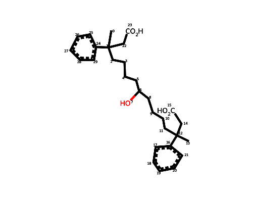 CC(CCCCC(O)CCCCC(C)(CC(=O)O)c1ccccc1)(CC(=O)O)c1ccccc1